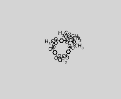 CC(=O)OCC(C)OC(=O)c1ccc(C(=O)OCC(C)OC(=O)c2ccc(C(=O)OCC(C)OC(=O)c3ccc(C(=O)OCC(C)OC(C)=O)cc3)cc2)cc1